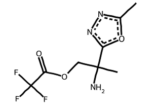 Cc1nnc(C(C)(N)COC(=O)C(F)(F)F)o1